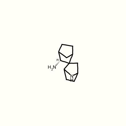 N[C@@H]1C2CCC(C2)C12CC1CCC2N1